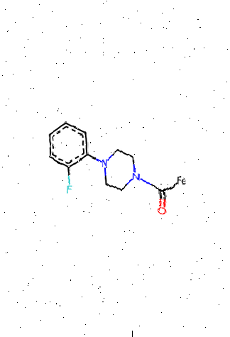 O=[C]([Fe])N1CCN(c2ccccc2F)CC1